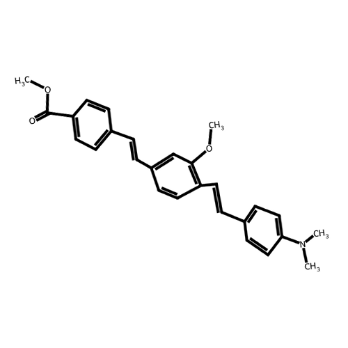 COC(=O)c1ccc(C=Cc2ccc(C=Cc3ccc(N(C)C)cc3)c(OC)c2)cc1